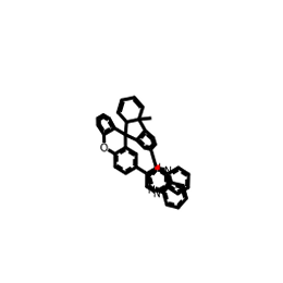 CC12C=CC=CC1C1(c3ccccc3Oc3ccc(-c4cnc5ccccc5n4)cc31)c1cc(-c3cnc4ccccc4n3)ccc12